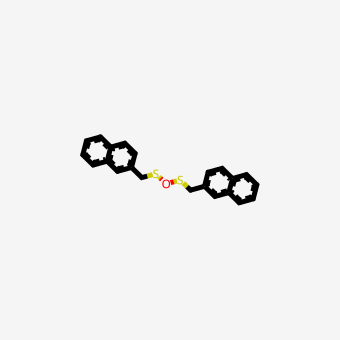 c1ccc2cc(CSOSCc3ccc4ccccc4c3)ccc2c1